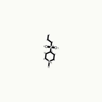 CCCS(=O)(=O)C1CCN(C)CC1